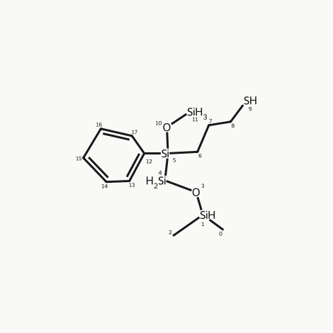 C[SiH](C)O[SiH2][Si](CCCS)(O[SiH3])c1ccccc1